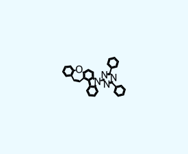 C1=Cc2c(ccc3c2c2ccccc2n3-c2nc(-c3ccccc3)nc(-c3ccccc3)n2)Oc2ccccc21